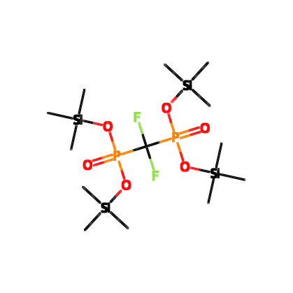 C[Si](C)(C)OP(=O)(O[Si](C)(C)C)C(F)(F)P(=O)(O[Si](C)(C)C)O[Si](C)(C)C